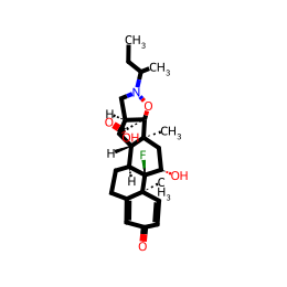 CCC(C)N1C[C@@H]2C[C@H]3[C@@H]4CCC5=CC(=O)C=C[C@]5(C)[C@@]4(F)[C@@H](O)C[C@]3(C)[C@]2(C(=O)O)O1